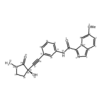 COc1ccc2cnc(C(=O)Nc3cccc(C#C[C@]4(O)CCN(C)C4=O)c3)n2c1